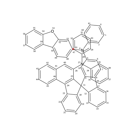 c1ccc(N(c2ccc3c(c2)C2(c4ccccc4-3)c3ccccc3-c3c2c(N(c2ccccc2)c2ccccc2)cc2ccccc32)c2ccc3c(c2)oc2ccccc23)cc1